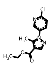 CCOC(=O)c1cnn(-c2ccc(Cl)nc2)c1C